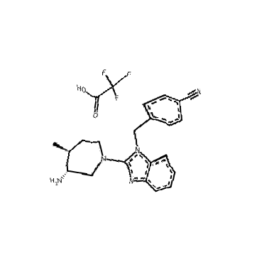 C[C@H]1CCN(c2nc3ccccc3n2Cc2ccc(C#N)cc2)C[C@@H]1N.O=C(O)C(F)(F)F